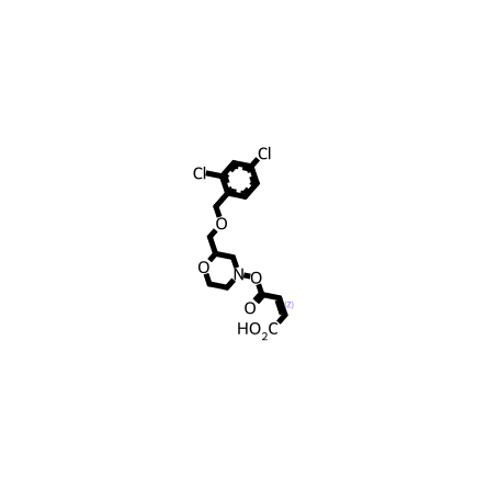 O=C(O)/C=C\C(=O)ON1CCOC(COCc2ccc(Cl)cc2Cl)C1